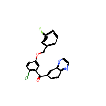 O=C(c1ccc2nccnc2c1)c1cc(OCc2cccc(F)c2)ccc1Cl